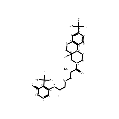 C[C@@H](COC[C@H](O)C(=O)N1CCN2c3ncc(C(F)(F)F)cc3OC[C@H]2C1)Nc1cn[nH]c(=O)c1C(F)(F)F